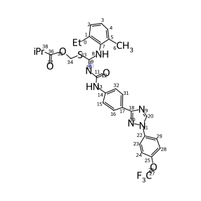 CCc1cccc(C)c1N/C(=N\C(=O)Nc1ccc(-c2ncn(-c3ccc(OC(F)(F)F)cc3)n2)cc1)SCOC(=O)C(C)C